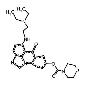 CCN(CC)CCNc1ccc2ncn3c4ccc(OC(=O)N5CCOCC5)cc4c(=O)c1c23